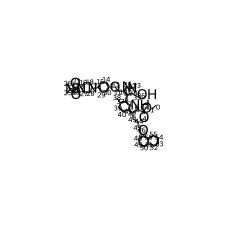 CCOC(=O)c1[nH]c2c(-c3c(COc4ccc(N5CCN(S(=O)(=O)N(C)C)CC5)cc4)nn(C)c3CO)c(C)ccc2c1CCCOc1cccc2ccccc12